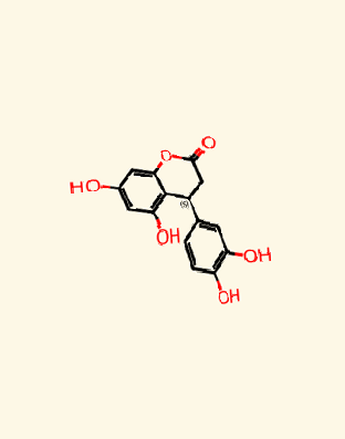 O=C1C[C@@H](c2ccc(O)c(O)c2)c2c(O)cc(O)cc2O1